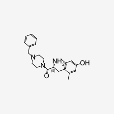 Cc1cc(O)cc(C)c1C[C@H](N)C(=O)N1CCN(Cc2ccccc2)CC1